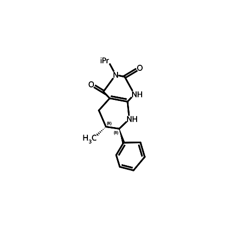 CC(C)n1c(=O)[nH]c2c(c1=O)C[C@@H](C)[C@H](c1ccccc1)N2